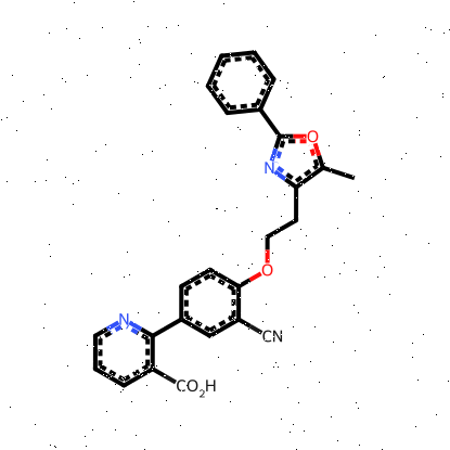 Cc1oc(-c2ccccc2)nc1CCOc1ccc(-c2ncccc2C(=O)O)cc1C#N